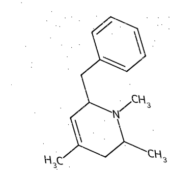 CC1=CC(Cc2ccccc2)N(C)C(C)C1